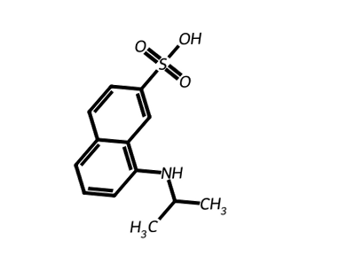 CC(C)Nc1cccc2ccc(S(=O)(=O)O)cc12